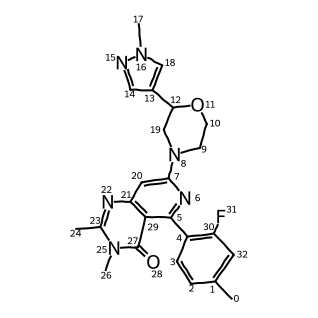 Cc1ccc(-c2nc(N3CCOC(c4cnn(C)c4)C3)cc3nc(C)n(C)c(=O)c23)c(F)c1